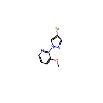 COc1cccnc1-n1cc(Br)cn1